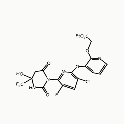 CCOC(=O)COc1ncccc1Oc1nc(N2C(=O)CC(O)(C(F)(F)F)NC2=O)c(F)cc1Cl